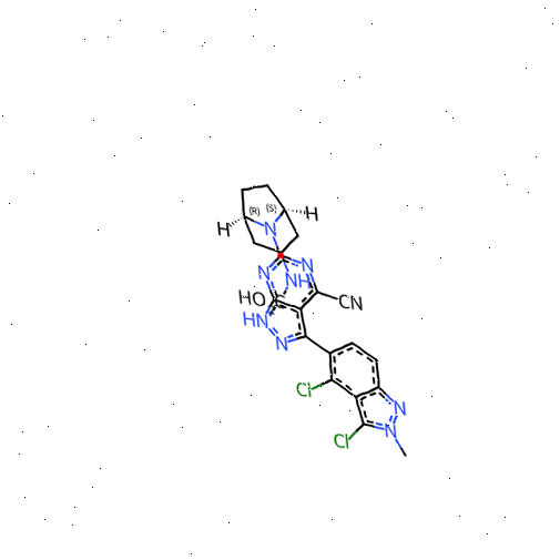 Cn1nc2ccc(-c3n[nH]c4nc(N5[C@@H]6CC[C@H]5CC(NC(=O)O)C6)nc(C#N)c34)c(Cl)c2c1Cl